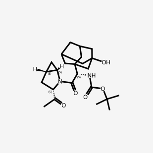 CC(=O)[C@@H]1C[C@@H]2C[C@@H]2N1C(=O)[C@@H](NC(=O)OC(C)(C)C)C12CC3CC(CC(O)(C3)C1)C2